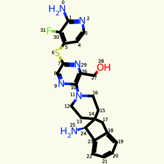 Nc1nccc(Sc2cnc(N3CCC4(CC3)Cc3ccccc3[C@H]4N)c(CO)n2)c1F